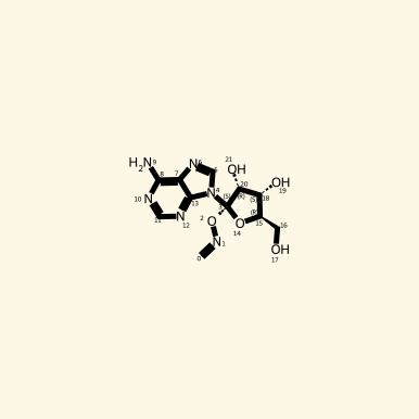 C=NO[C@@]1(n2cnc3c(N)ncnc32)O[C@H](CO)[C@@H](O)[C@H]1O